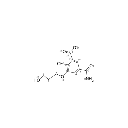 NC(=O)c1cc(OCCCO)c(Cl)c([N+](=O)[O-])c1